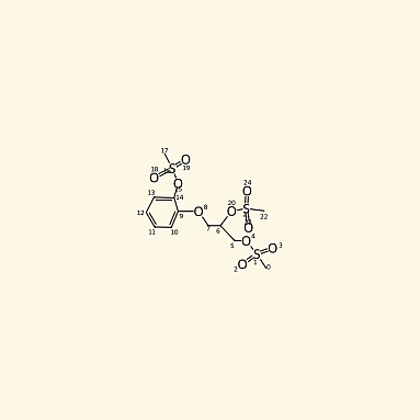 CS(=O)(=O)OCC(COc1ccccc1OS(C)(=O)=O)OS(C)(=O)=O